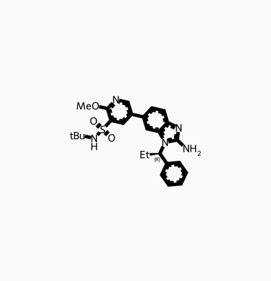 CC[C@H](c1ccccc1)n1c(N)nc2ccc(-c3cnc(OC)c(S(=O)(=O)NC(C)(C)C)c3)cc21